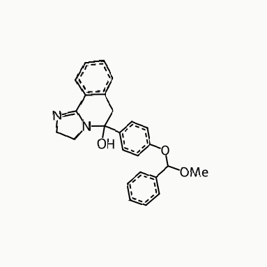 COC(Oc1ccc(C2(O)Cc3ccccc3C3=NCCN32)cc1)c1ccccc1